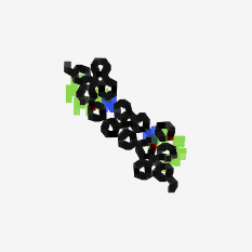 C=Cc1ccc(C2(c3c(F)c(F)c(F)c(F)c3F)c3ccccc3-c3ccc(N(c4ccccc4)c4ccc5c(c4)C(c4ccccc4)(c4ccccc4)c4cc(N(c6ccccc6)c6ccc7c(c6)C(c6ccc(C=C)cc6)(c6c(F)c(F)c(F)c(F)c6F)c6ccccc6-7)ccc4-5)cc32)cc1